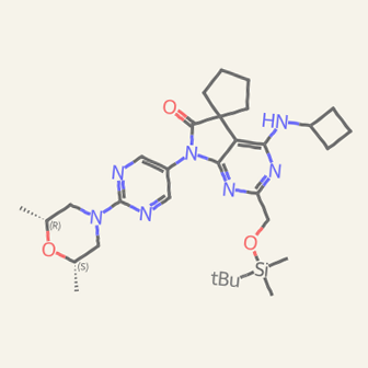 C[C@@H]1CN(c2ncc(N3C(=O)C4(CCCC4)c4c(NC5CCC5)nc(CO[Si](C)(C)C(C)(C)C)nc43)cn2)C[C@H](C)O1